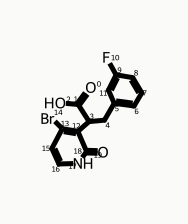 O=C(O)C(Cc1cccc(F)c1)c1c(Br)cc[nH]c1=O